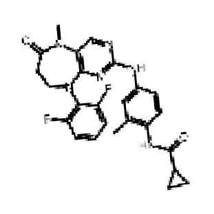 Cc1cc(Nc2ncc3c(n2)N(c2c(F)cccc2F)CCC(=O)N3C)ccc1NC(=O)C1CC1